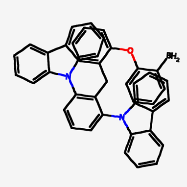 Bc1ccccc1Oc1ccccc1Cc1c(-n2c3ccccc3c3ccccc32)cccc1-n1c2ccccc2c2ccccc21